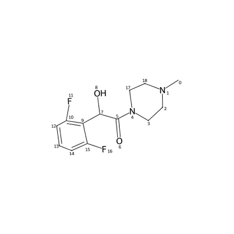 CN1CCN(C(=O)C(O)c2c(F)cccc2F)CC1